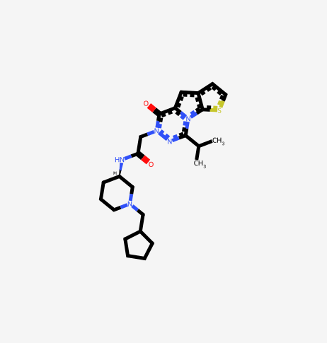 CC(C)c1nn(CC(=O)N[C@@H]2CCCN(CC3CCCC3)C2)c(=O)c2cc3ccsc3n12